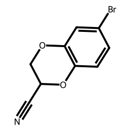 N#CC1COc2cc(Br)ccc2O1